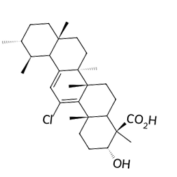 C[C@@H]1CC[C@]2(C)CC[C@]3(C)C(=CC(Cl)=C4[C@@]5(C)CC[C@@H](O)[C@](C)(C(=O)O)C5CC[C@]43C)C2[C@H]1C